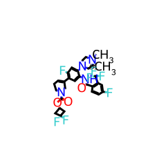 C[C@H]1CN(c2cc(F)c(C3=CCCN(C(=O)OC4CC(F)(F)C4)C3)cc2NC(=O)c2ccc(F)cc2C(F)(F)F)CCN1C